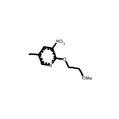 COCCOc1ncc(C)cc1[N+](=O)[O-]